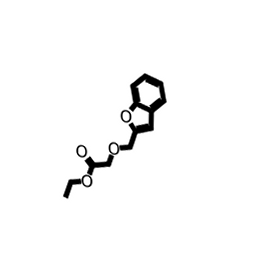 CCOC(=O)COCc1cc2ccccc2o1